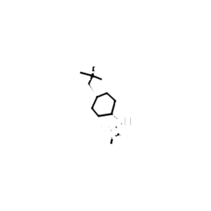 CC(C)(C)C[C@H]1CC[C@@H](NS(C)(=O)=O)CC1